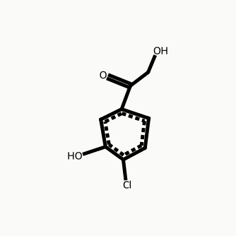 O=C(CO)c1ccc(Cl)c(O)c1